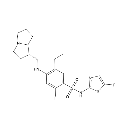 CCc1cc(S(=O)(=O)Nc2ncc(F)s2)c(F)cc1NC[C@@H]1CCN2CCCC12